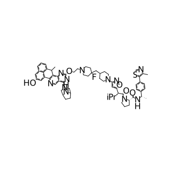 Cc1ncsc1-c1ccc([C@H](C)NC(=O)[C@@H]2CCCN2C(=O)[C@H](c2cc(N3CCC(CC4(F)CCN(CCOc5nc(N6CC7CCC(C6)N7)c6cnc7c(c6n5)C(C)c5cccc6cc(O)cc-7c56)CC4)CC3)no2)C(C)C)cc1